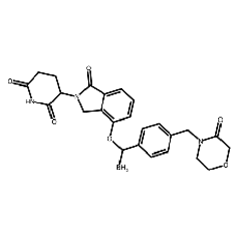 BC(Oc1cccc2c1CN(C1CCC(=O)NC1=O)C2=O)c1ccc(CN2CCOCC2=O)cc1